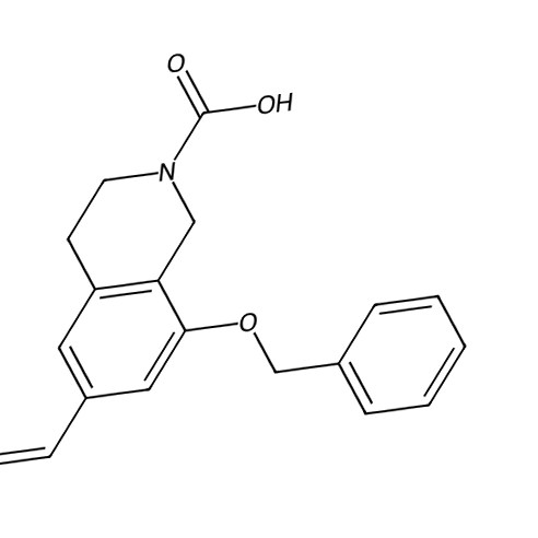 C=Cc1cc2c(c(OCc3ccccc3)c1)CN(C(=O)O)CC2